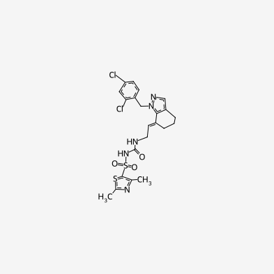 Cc1nc(C)c(S(=O)(=O)NC(=O)NCC=C2CCCc3cnn(Cc4ccc(Cl)cc4Cl)c32)s1